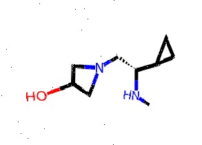 CN[C@H](CN1CC(O)C1)C1CC1